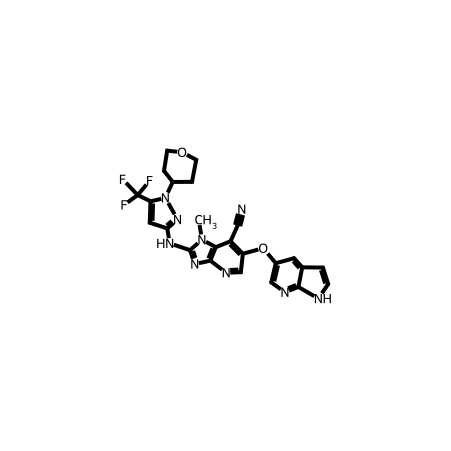 Cn1c(Nc2cc(C(F)(F)F)n(C3CCOCC3)n2)nc2ncc(Oc3cnc4[nH]ccc4c3)c(C#N)c21